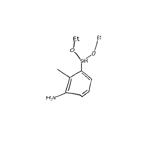 CCO[SiH](OCC)c1cccc(N)c1C